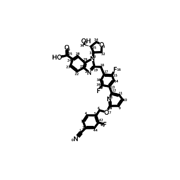 N#Cc1ccc(COc2cccc(-c3cc(F)c(Cc4nc5ccc(C(=O)O)cc5n4C4COC[C@H]4CO)cc3F)n2)c(F)c1